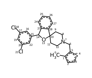 Cc1ccsc1CN1CCC2(CC1)OC(c1cc(Cl)cc(Cl)c1)c1ccccc12